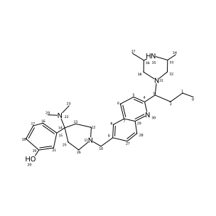 CCCC(c1ccc2cc(CN3CCC(c4cccc(O)c4)(N(C)C)CC3)ccc2n1)N1CC(C)NC(C)C1